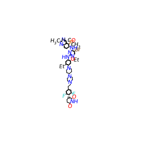 CCOc1cc(N2CCC(N3CCN(CCc4cc(F)c([C@H]5CCC(=O)NC5=O)c(F)c4)CC3)CC2)c(CC)cc1Nc1ncc(Br)c(Nc2ccc3nc(C)ncc3c2P(C)(C)=O)n1